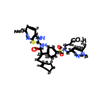 COc1ccc2c(n1)SC(NC(=O)C(CC1CCCC1)c1ccc(S(=O)(=O)N(CCC(=O)O)Cc3cc(C)n(C)n3)cc1)N2